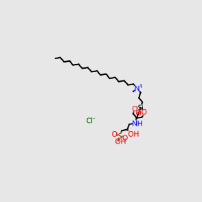 CCCCCCCCCCCCCCCCCC[N+](C)(C)CCC[Si]12OCC(NCC(O)CS(=O)(=O)O)(CO1)CO2.[Cl-]